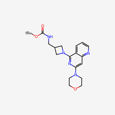 CC(C)(C)OC(=O)NCC1CN(c2nc(N3CCOCC3)cc3ncccc23)C1